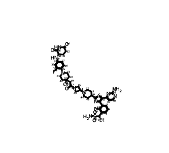 CCC(c1cccc(-c2nc(C3CCN(C4CN(C(=O)CC5(O)CCN(c6ccc(NC7CCC(=O)NC7=O)cc6F)CC5)C4)CC3)sc2-c2ccnc(N)n2)c1F)S(N)(=O)=O